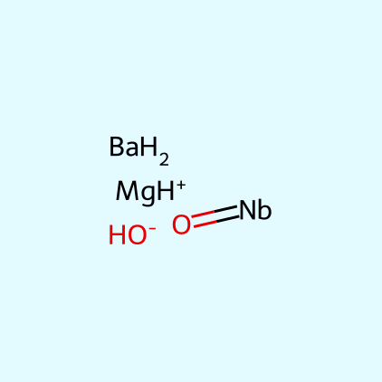 [BaH2].[MgH+].[OH-].[O]=[Nb]